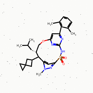 Cc1cccc(C)c1-c1cc2nc(n1)NS(=O)(=O)c1cc(n(C)n1)C(C1CC3(CC3)C1)[C@H](CC(C)C)CO2